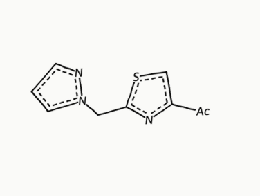 CC(=O)c1csc(Cn2cccn2)n1